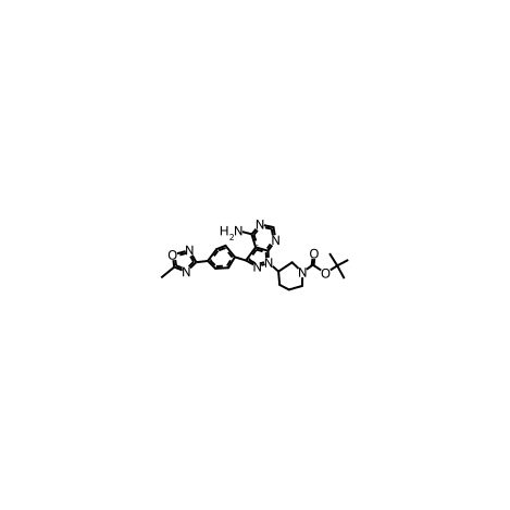 Cc1nc(-c2ccc(-c3nn(C4CCCN(C(=O)OC(C)(C)C)C4)c4ncnc(N)c34)cc2)no1